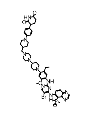 CCc1cc(Nc2ncc(Br)c(Nc3ccc4nccnc4c3P(C)(C)=O)n2)c(OC)cc1N1CCC(N2CCN(CC3CCN(c4ccc(C5CCC(=O)NC5=O)cc4)CC3)CC2)CC1